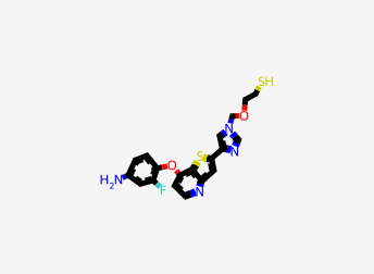 Nc1ccc(Oc2ccnc3cc(-c4cn(COCCS)cn4)sc23)c(F)c1